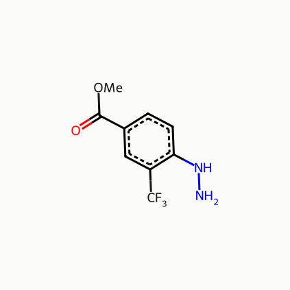 COC(=O)c1ccc(NN)c(C(F)(F)F)c1